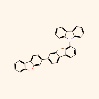 c1ccc2c(c1)oc1cc(-c3ccc4c(c3)sc3c(-n5c6ccccc6c6ccccc65)cccc34)ccc12